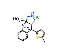 Cc1ccc(C23CCC(c4ccccc42)C2(C(=O)O)CNCC32)s1.Cl